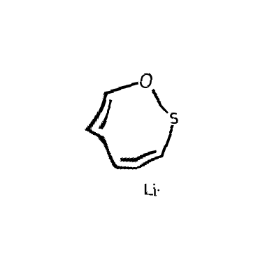 C1=COSC=C1.[Li]